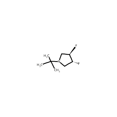 CC(C)(C)N1C[C@@H](F)[C@H](F)C1